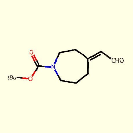 CC(C)(C)OC(=O)N1CCCC(=CC=O)CC1